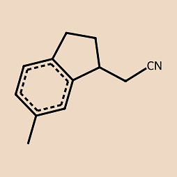 Cc1ccc2c(c1)C(CC#N)CC2